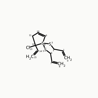 C=CCSS1(SCC=C)C=CCC1(Cl)C=C